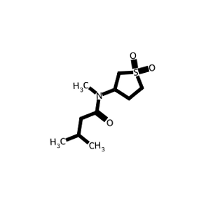 CC(C)CC(=O)N(C)C1CCS(=O)(=O)C1